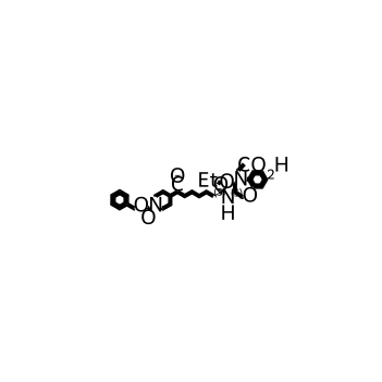 CCO[C@@H](CCCCCC(=C=O)C1CCN(C(=O)OCc2ccccc2)CC1)N[C@H]1COc2ccccc2N(CC(=O)O)C1=O